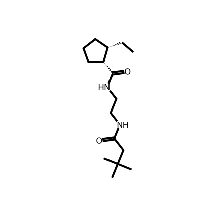 CC[C@H]1CCC[C@H]1C(=O)NCCNC(=O)CC(C)(C)C